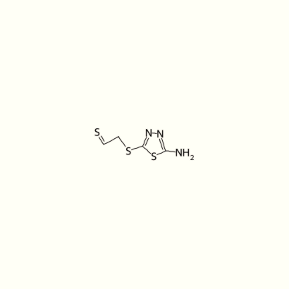 Nc1nnc(SCC=S)s1